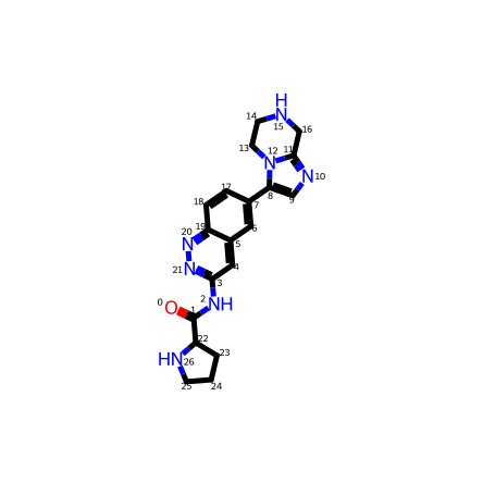 O=C(Nc1cc2cc(-c3cnc4n3CCNC4)ccc2nn1)C1CCCN1